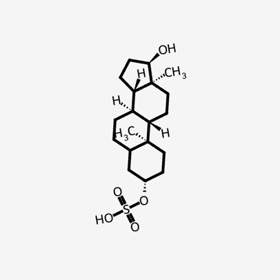 C[C@]12CC[C@H]3[C@@H](CCC4C[C@@H](OS(=O)(=O)O)CC[C@@]43C)[C@@H]1CC[C@H]2O